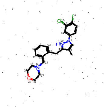 CC1=CN(c2ccc(F)c(Cl)c2)NC1Cc1ccccc1CN1CCOCC1